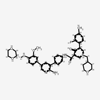 COc1cc(-c2cnc(N)c(-c3ccc(NC(=O)c4cn(CC5CCOCC5)cc(-c5ccc(C)cc5F)c4=O)cc3)c2)ccc1OC[C@H]1COCCO1